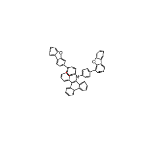 c1ccc(-c2c(N(c3ccc(-c4ccc5c(c4)oc4ccccc45)cc3)c3ccc(-c4cccc5c4oc4ccccc45)cc3)c3ccccc3c3ccccc23)cc1